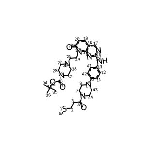 CSCCC(=O)N1CCN(c2ccc(Nc3ncc4ccc(=O)n(CCN5CCN(C(=O)OC(C)(C)C)CC5)c4n3)cc2)CC1